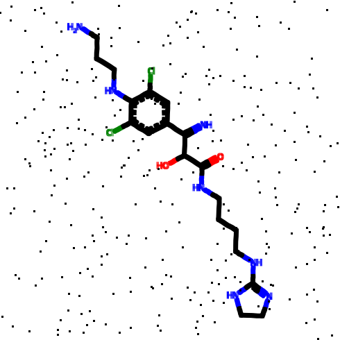 N=C(c1cc(Cl)c(NCCCN)c(Cl)c1)C(O)C(=O)NCCCCNC1=NCCN1